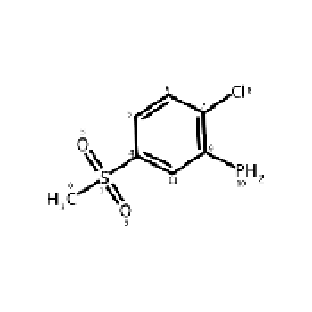 CS(=O)(=O)c1ccc(Cl)c(P)c1